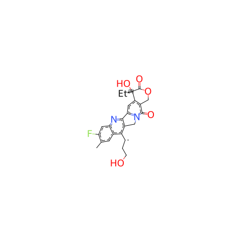 CC[C@@]1(O)C(=O)OCc2c1cc1n(c2=O)Cc2c-1nc1cc(F)c(C)cc1c2[CH]CCO